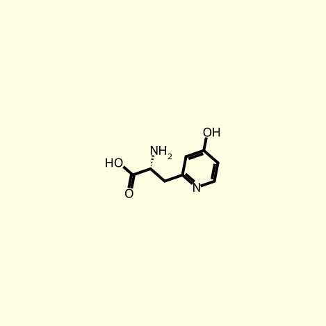 N[C@H](Cc1cc(O)ccn1)C(=O)O